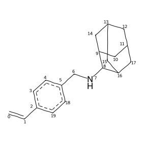 C=Cc1ccc(CNC2C3CC4CC(C3)CC2C4)cc1